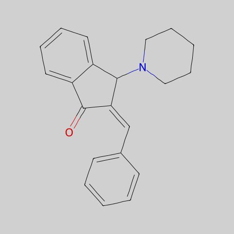 O=C1/C(=C\c2ccccc2)C(N2CCCCC2)c2ccccc21